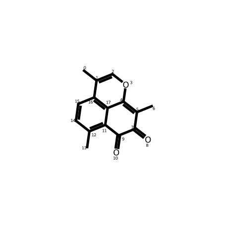 CC1=COC2=C(C)C(=O)C(=O)c3c(C)ccc1c32